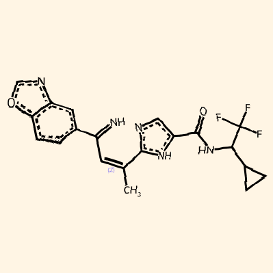 C/C(=C/C(=N)c1ccc2ocnc2c1)c1ncc(C(=O)NC(C2CC2)C(F)(F)F)[nH]1